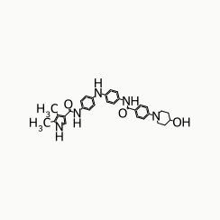 Cc1[nH]cc(C(=O)Nc2ccc(Nc3ccc(NC(=O)c4ccc(N5CCC(O)CC5)cc4)cc3)cc2)c1C